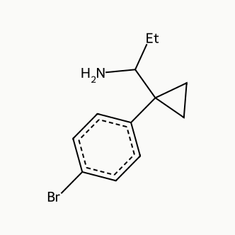 CCC(N)C1(c2ccc(Br)cc2)CC1